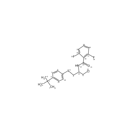 CC(C)(C)c1ccc(SCC(CCl)NC(=O)c2c(F)cccc2F)cc1